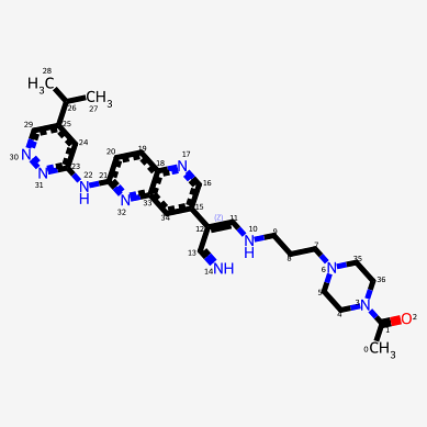 CC(=O)N1CCN(CCCN/C=C(\C=N)c2cnc3ccc(Nc4cc(C(C)C)cnn4)nc3c2)CC1